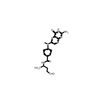 CN(c1ccc(C(=O)NC(CCC=O)C(=O)O)cc1)c1cnc2nc(N)[nH]c(=O)c2n1